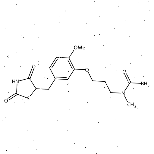 BC(=O)N(C)CCCOc1cc(CC2SC(=O)NC2=O)ccc1OC